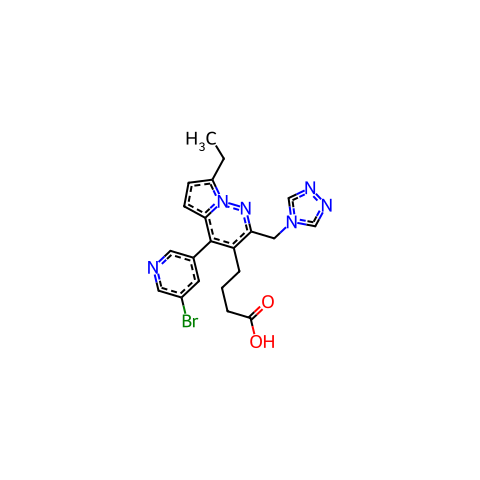 CCc1ccc2c(-c3cncc(Br)c3)c(CCCC(=O)O)c(Cn3cnnc3)nn12